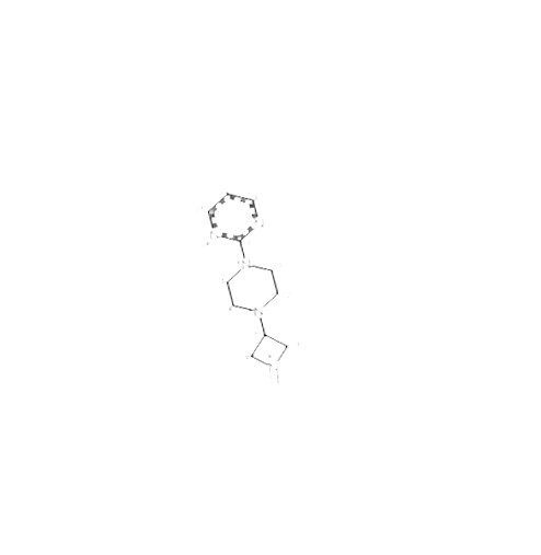 c1cnc(N2CCN(C3CNC3)CC2)nc1